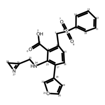 O=C(O)c1c(CS(=O)(=O)c2ccccc2)ccc(-c2ccoc2)c1NCC1=NC1